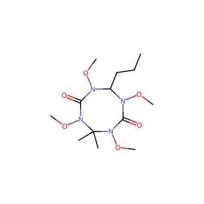 CCCC1N(OC)C(=O)N(OC)C(C)(C)N(OC)C(=O)N1OC